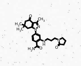 Cc1nn(-c2ccc(C(N)=O)c(NCCCN3CCCC3=O)c2)c2c1C(=O)CC(C)(C)C2